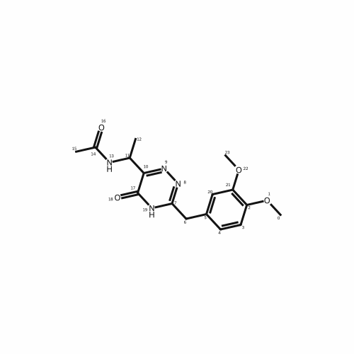 COc1ccc(Cc2nnc(C(C)NC(C)=O)c(=O)[nH]2)cc1OC